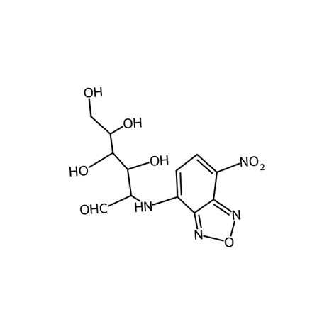 O=CC(Nc1ccc([N+](=O)[O-])c2nonc12)C(O)C(O)C(O)CO